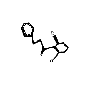 O=C1CCCC(Cl)=C1C(=O)CCc1ccccc1